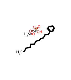 CCCCCCCCCCCCc1ccccc1.O=S(=O)(O)[SiH]1O[SiH2]O1